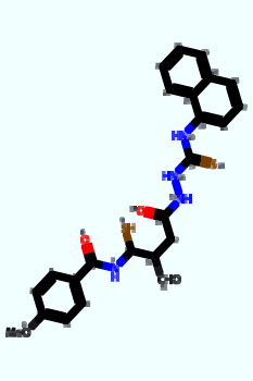 COc1ccc(C(=O)NC(S)C(C=O)CC(=O)NNC(=S)Nc2cccc3ccccc23)cc1